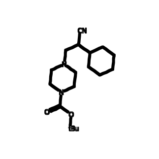 CC(C)(C)OC(=O)N1CCN(CC(C#N)C2CCCCC2)CC1